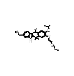 C=NCc1ccc2c3c([nH]c2c1)C(C)(C)c1cc(OCCOCCC)c(OC(C)C)cc1C3=O